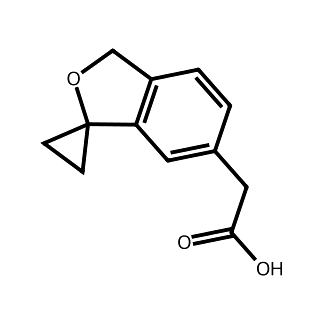 O=C(O)Cc1ccc2c(c1)C1(CC1)OC2